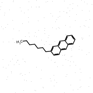 [CH2]CCCCCCc1ccc2cc3ccccc3cc2c1